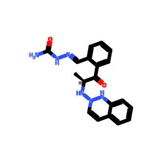 C[C@H](NN1C=Cc2ccccc2N1)C(=O)c1ccccc1C=NNC(N)=O